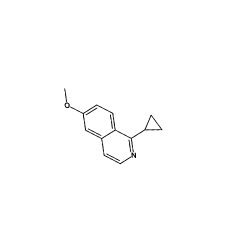 COc1ccc2c(C3CC3)nccc2c1